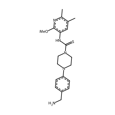 COc1nc(C)c(C)cc1NC(=S)N1CCN(c2ccc(CN)cc2)CC1